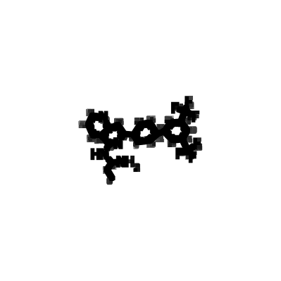 CCC(N)Nc1nc(-c2ccc(-c3cc(C(F)(F)F)cc(C(F)(F)F)c3)cc2)cc2ncccc12